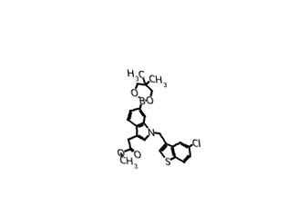 COC(=O)Cc1cn(Cc2csc3ccc(Cl)cc23)c2cc(B3OCC(C)(C)CO3)ccc12